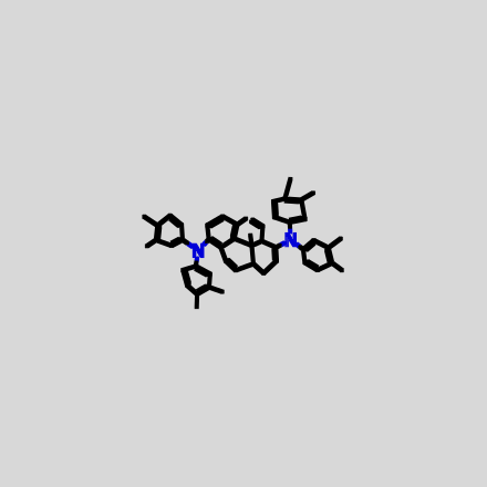 C=CC1C(N(c2ccc(C)c(C)c2)c2ccc(C)c(C)c2)=CCC2C=Cc3c(N(c4ccc(C)c(C)c4)c4ccc(C)c(C)c4)ccc(C)c3C21C